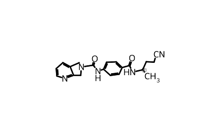 C[C@H](CCC#N)NC(=O)c1ccc(NC(=O)N2Cc3cccnc3C2)cc1